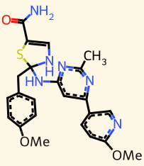 COc1ccc(CC2(Nc3cc(-c4ccc(OC)nc4)nc(C)n3)NC=C(C(N)=O)S2)cc1